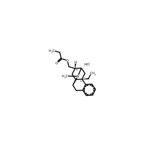 CCC(=O)OC[C@H]1CC2C3Cc4ccccc4[C@@]2(CC)CC1N3C.Cl